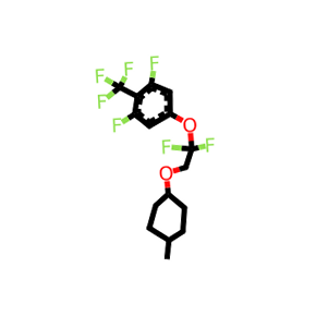 CC1CCC(OCC(F)(F)Oc2cc(F)c(C(F)(F)F)c(F)c2)CC1